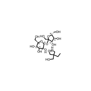 CCC(CO)(CO)CO.OC[C@H]1O[C@@](CO)(O[C@H]2O[C@H](CO)[C@@H](O)[C@H](O)[C@H]2O)[C@@H](O)[C@@H]1O